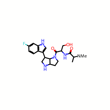 CNC(C)C(=O)NC(CO)C(=O)N1CCC2NCC(c3c[nH]c4cc(F)ccc34)C21